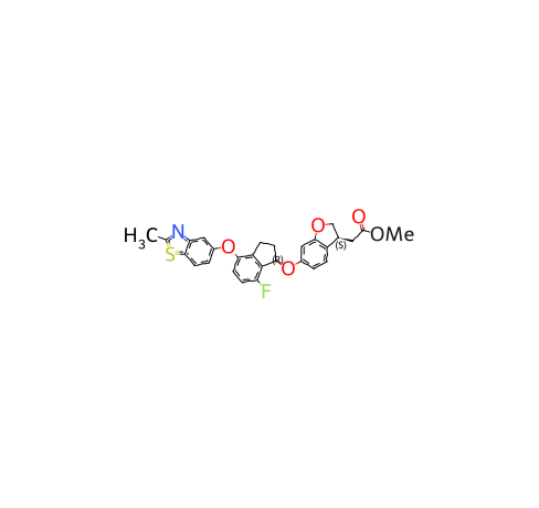 COC(=O)C[C@@H]1COc2cc(O[C@@H]3CCc4c(Oc5ccc6sc(C)nc6c5)ccc(F)c43)ccc21